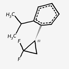 CC(C)c1ccccc1[C@@H]1CC1(F)F